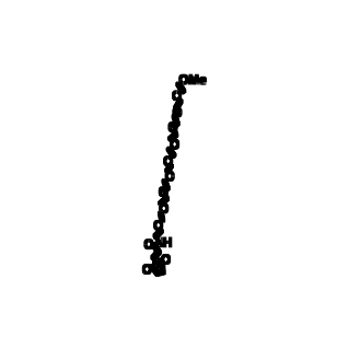 COCCOCCOCCOCCOCCOCCOCCOCCOCCOCCNC(=O)CCN1C(=O)CCC1=O